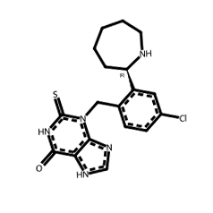 O=c1[nH]c(=S)n(Cc2ccc(Cl)cc2[C@H]2CCCCCN2)c2nc[nH]c12